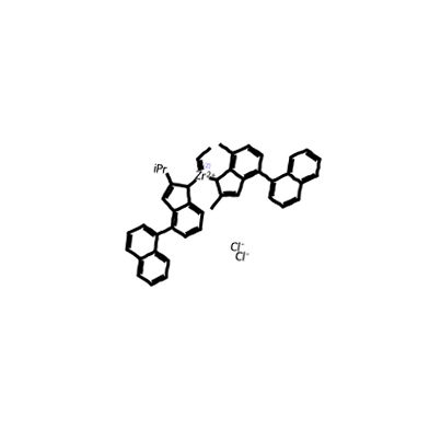 C/[CH]=[Zr+2](/[CH]1C(C(C)C)=Cc2c(-c3cccc4ccccc34)cccc21)[CH]1C(C)=Cc2c(-c3cccc4ccccc34)ccc(C)c21.[Cl-].[Cl-]